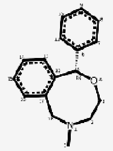 CN1CCO[C@@H](c2ccccc2)c2ccccc2C1